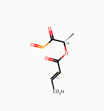 C[C@H](OC(=O)/C=C/C(=O)O)C(=O)P=O